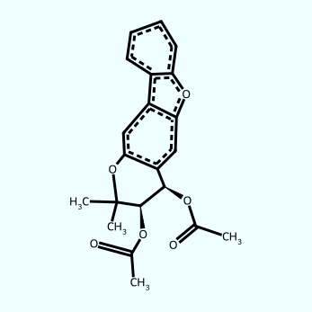 CC(=O)O[C@@H]1c2cc3oc4ccccc4c3cc2OC(C)(C)[C@@H]1OC(C)=O